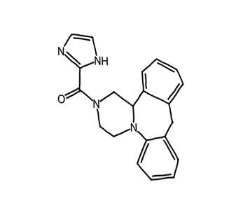 O=C(c1ncc[nH]1)N1CCN2c3ccccc3Cc3ccccc3C2C1